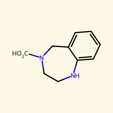 O=C(O)N1CCNc2ccccc2C1